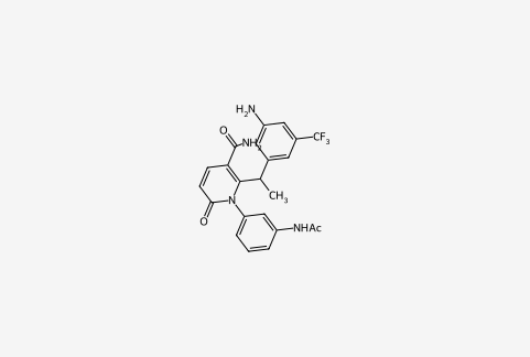 CC(=O)Nc1cccc(-n2c(C(C)c3cc(N)cc(C(F)(F)F)c3)c(C(N)=O)ccc2=O)c1